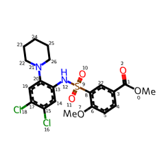 COC(=O)c1ccc(OC)c(S(=O)(=O)Nc2cc(Cl)c(Cl)cc2N2CCCCC2)c1